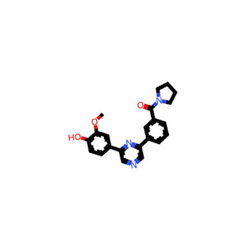 COc1cc(-c2cncc(-c3cccc(C(=O)N4CCCC4)c3)n2)ccc1O